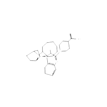 O=C(O)C1CCN(C2=NC3=C(CCC=C3)N([C@@H]3C[C@@H]4CCC3N4C3CCCCCCC3)C2O)CC1